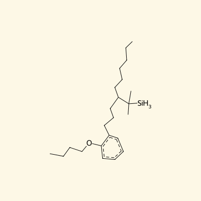 CCCCCCC(CCCc1ccccc1OCCCC)C(C)(C)[SiH3]